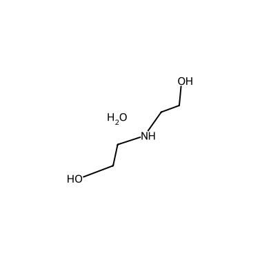 O.OCCNCCO